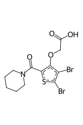 O=C(O)COc1c(C(=O)N2CCCCC2)sc(Br)c1Br